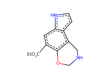 CCOC(=O)c1cc2[nH]ccc2c2c1OCNC2